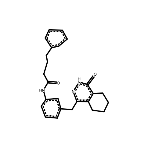 O=C(CCCc1ccccc1)Nc1cccc(Cc2n[nH]c(=O)c3c2CCCC3)c1